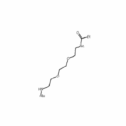 CCCCNCCOCCOCCNC(=O)CC